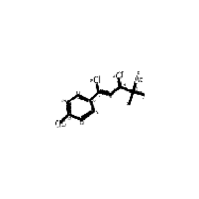 CC(=O)C(C)(C)C(Cl)C=C(Cl)c1ccc(Cl)cc1